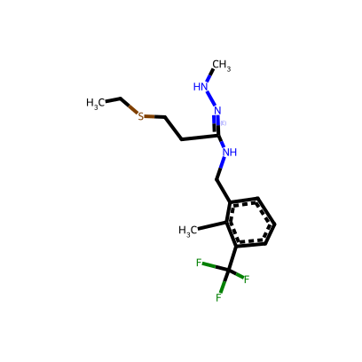 CCSCC/C(=N\NC)NCc1cccc(C(F)(F)F)c1C